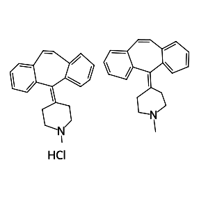 CN1CCC(=C2c3ccccc3C=Cc3ccccc32)CC1.CN1CCC(=C2c3ccccc3C=Cc3ccccc32)CC1.Cl